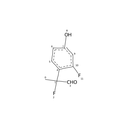 CC(F)(C=O)c1ccc(O)cc1F